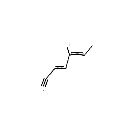 CC=C(N)C=CC#N